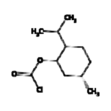 CC(C)C1CC[C@H](C)CC1OC(=O)Cl